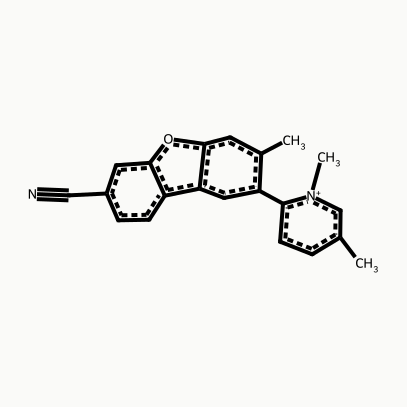 Cc1ccc(-c2cc3c(cc2C)oc2cc(C#N)ccc23)[n+](C)c1